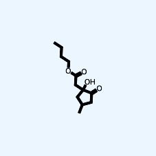 CCCCOC(=O)CC1(O)CC(C)CC1=O